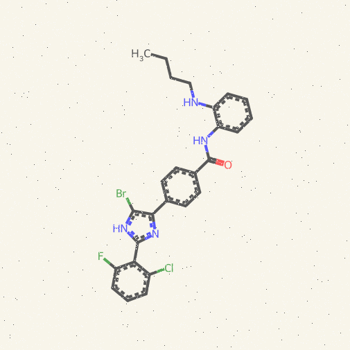 CCCCNc1ccccc1NC(=O)c1ccc(-c2nc(-c3c(F)cccc3Cl)[nH]c2Br)cc1